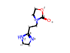 O=C1OCCN1CCC1=NCCN1